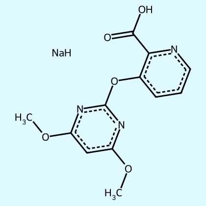 COc1cc(OC)nc(Oc2cccnc2C(=O)O)n1.[NaH]